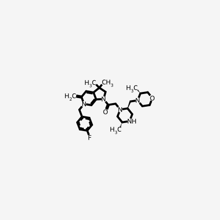 C=C1C=C2C(=CN1Cc1ccc(F)cc1)N(C(=O)CN1C[C@@H](C)NC[C@@H]1CN1CCOC[C@H]1C)CC2(C)C